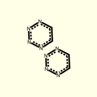 c1cnnnn1.c1cnnnn1